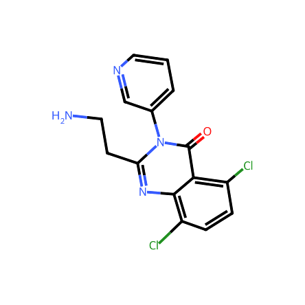 NCCc1nc2c(Cl)ccc(Cl)c2c(=O)n1-c1cccnc1